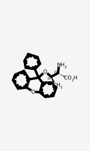 C[C@@H](OC1(c2ccccc2)c2ccccc2Oc2ccccc21)[C@H](N)C(=O)O